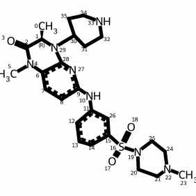 C[C@@H]1C(=O)N(C)c2ccc(Nc3cccc(S(=O)(=O)N4CCN(C)CC4)c3)nc2N1C1CCNCC1